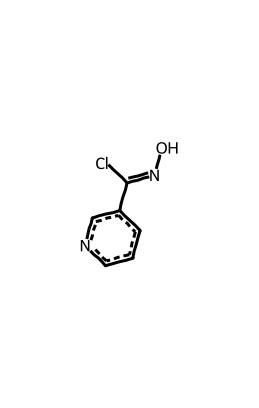 O/N=C(\Cl)c1cccnc1